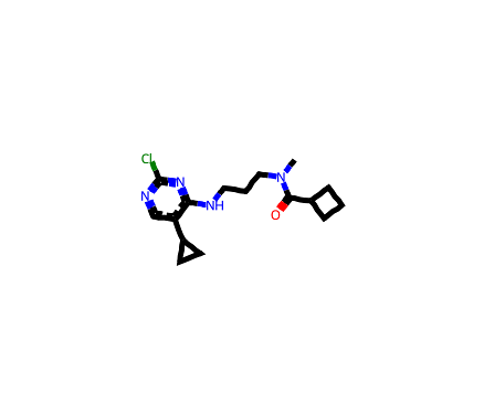 CN(CCCNc1nc(Cl)ncc1C1CC1)C(=O)C1CCC1